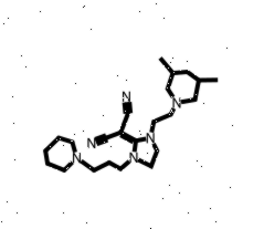 CC1CC(C)CN(CCN2CCN(CCCN3CCCCC3)C2=C(C#N)C#N)C1